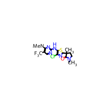 CNc1nc(Nc2sc(C3(C)CCN(C)C3=O)nc2Cl)ncc1C(F)(F)F